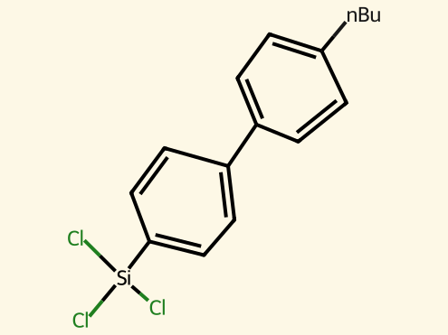 CCCCc1ccc(-c2ccc([Si](Cl)(Cl)Cl)cc2)cc1